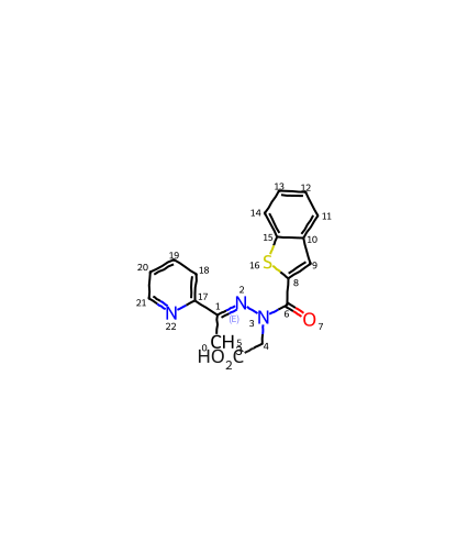 C/C(=N\N(CC(=O)O)C(=O)c1cc2ccccc2s1)c1ccccn1